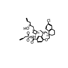 C=CC[C@@H](O)C[C@@H]1CC[C@H]1CN1C[C@@]2(CCCc3cc(Cl)ccc32)COc2ccc(C(=O)NS(=O)(=O)CC=C)cc21